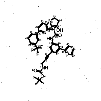 CC(C)(C)OC(=O)NCC#Cc1cc(NC(=O)N2c3nc(-c4cccc(C(F)(F)F)c4)ccc3N3CC[C@@]2(O)C3)cc(-c2cnco2)c1